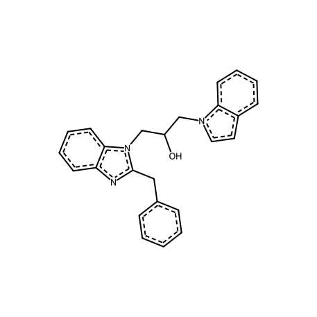 OC(Cn1ccc2ccccc21)Cn1c(Cc2ccccc2)nc2ccccc21